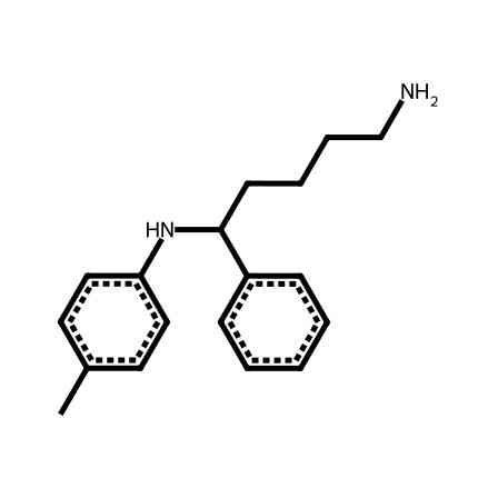 Cc1ccc(NC(CCCCN)c2ccccc2)cc1